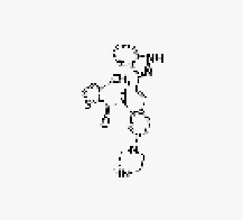 Cc1ccsc1C(=O)Nc1cc(N2CCNCC2)ccc1/C=C/c1n[nH]c2ccccc12